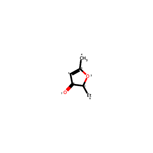 CCC1OC(C)=CC1=O